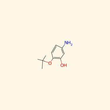 CC(C)(C)Oc1ccc(N)cc1O